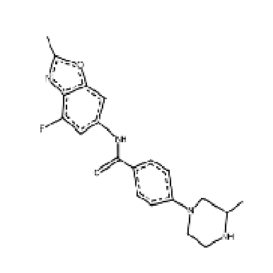 Cc1nc2c(F)cc(NC(=O)c3ccc(N4CCNC(C)C4)cc3)cc2o1